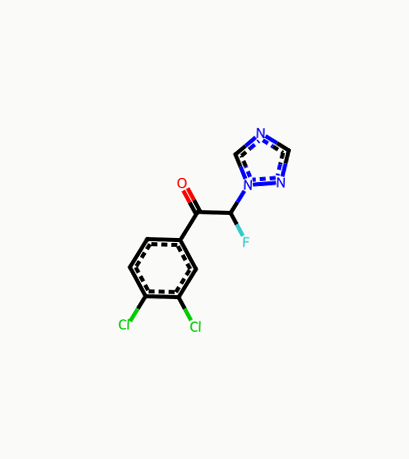 O=C(c1ccc(Cl)c(Cl)c1)C(F)n1cncn1